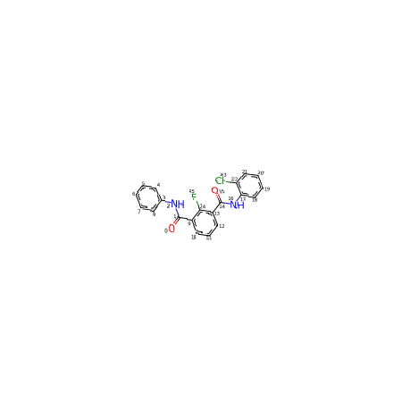 O=C(Nc1ccccc1)c1cccc(C(=O)Nc2ccccc2Cl)c1F